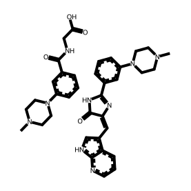 CN1CCN(c2cccc(C(=O)NCC(=O)O)c2)CC1.CN1CCN(c2cccc(C3=NC(=Cc4c[nH]c5ncccc45)C(=O)N3)c2)CC1